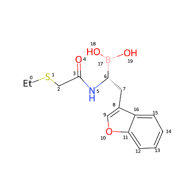 CCSCC(=O)N[C@@H](Cc1coc2ccccc12)B(O)O